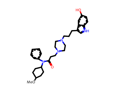 COC1CCC(N(C(=O)CCN2CCN(CCCc3c[nH]c4ccc(O)cc34)CC2)c2ccccc2)CC1